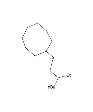 CCCCC(CC)CSC1CCCCCCC1